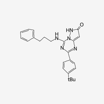 CC(C)(C)c1ccc(-c2nc(NCCCc3ccccc3)n3[nH]c(=O)cc3n2)cc1